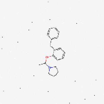 CC(Oc1ccccc1Cc1ccccc1)N1CCCC1